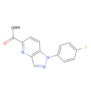 COC(=O)c1ccc2c(cnn2-c2ccc(F)cc2)n1